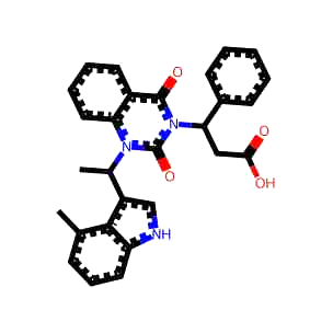 Cc1cccc2[nH]cc(C(C)n3c(=O)n(C(CC(=O)O)c4ccccc4)c(=O)c4ccccc43)c12